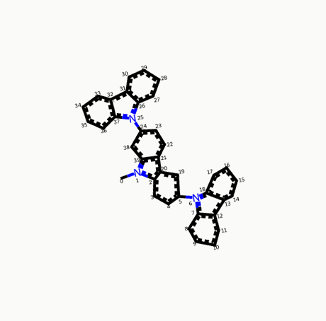 Cn1c2ccc(-n3c4ccccc4c4ccccc43)cc2c2ccc(-n3c4ccccc4c4ccccc43)cc21